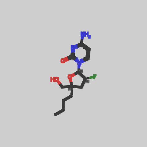 CCCC[C@@]1(CO)C[C@@H](F)[C@H](n2ccc(N)nc2=O)O1